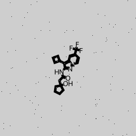 O=C(CC1(O)CCCC1)Nc1nn2ccc(C(F)(F)F)cc2c1C1CCC1